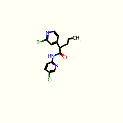 CCCC(C(=O)Nc1ccc(Cl)cn1)c1ccnc(Br)c1